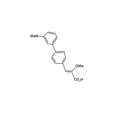 CNc1cccc(-c2ccc(/C=C(\OC)C(=O)O)cc2)c1